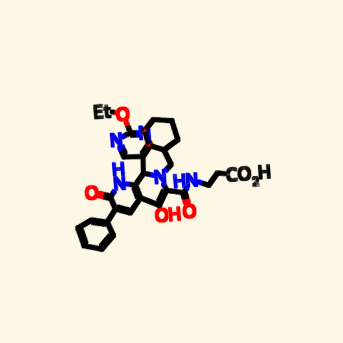 CCOc1ncc(C2c3[nH]c(=O)c(-c4ccccc4)cc3C(O)=C(C(=O)NCCC(=O)O)N2CC2CCCCC2)cn1